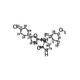 COc1cc(F)c([C@@H]2CNC(=O)[C@H]2Nc2ncc(-c3ccc(Cl)cc3)o2)c(F)c1